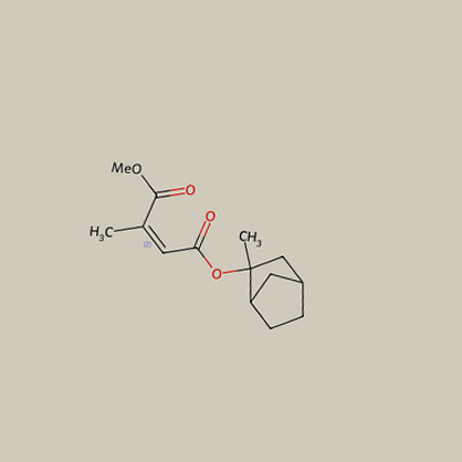 COC(=O)/C(C)=C\C(=O)OC1(C)CC2CCC1C2